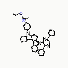 C=C/C=C\C=C(/C)c1ccc(-n2c3ccccc3c3c4c5ccccc5n(-c5nc(-c6ccccc6)cnc5-c5ccccc5)c4ccc32)cc1